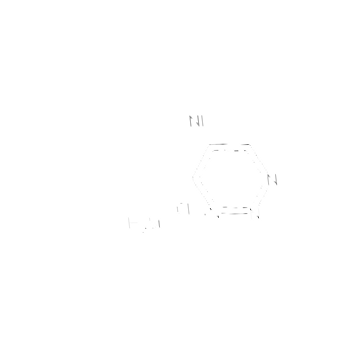 C.N.[SiH4].c1cnnnc1